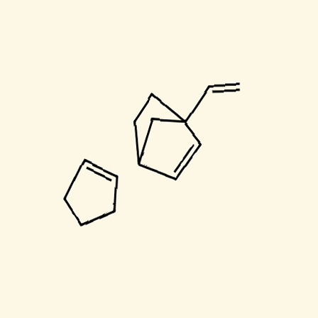 C1=CCCC1.C=CC12C=CC(CC1)C2